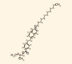 CCCCCCCCCCCCCOc1ccc2cc(CCc3ccc(C(=O)OC[C@H](C)CC)cc3)ccc2c1